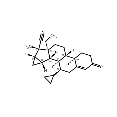 CC[C@]12CC[C@H]3[C@H]([C@@H]1[C@@H]1C[C@@H]1[C@]2(C)C#N)[C@H](C1CC1)CC1=CC(=O)CC[C@@H]13